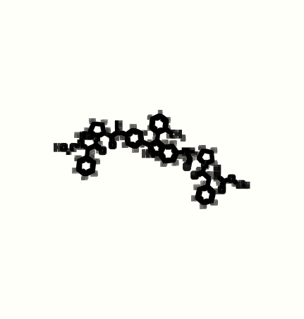 Cc1ccccc1-c1c(-c2ccc(NC(=O)[C@@H]3CCCN3C(=O)[C@@H](c3ccccc3)N(C(=O)O)C(C)(C)C)cc2)[nH]c2ccc(NC(=O)[C@@H]3CCCN3C(=O)[C@H](NC(=O)OC(C)(C)C)c3ccccc3)cc12